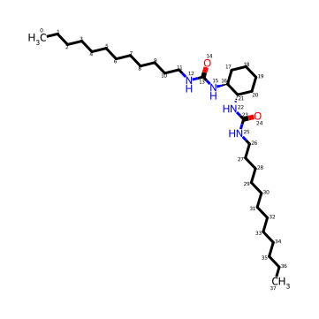 CCCCCCCCCCCCNC(=O)N[C@H]1CCCC[C@@H]1NC(=O)NCCCCCCCCCCCC